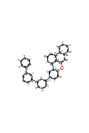 c1ccc(-c2cccc(-c3cccc(-c4ccc5c(c4)-c4cccc6c4c(cc4ccccc46)O5)c3)c2)cc1